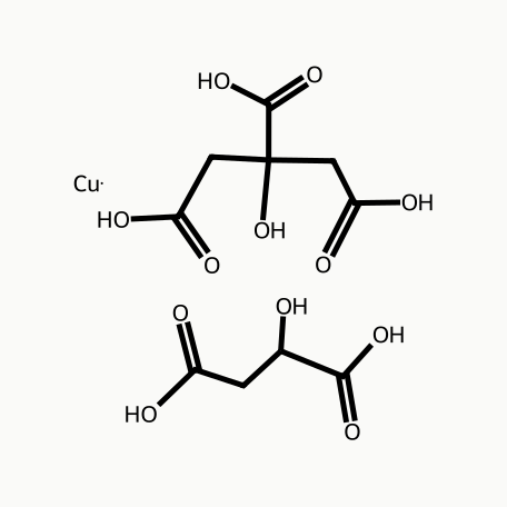 O=C(O)CC(O)(CC(=O)O)C(=O)O.O=C(O)CC(O)C(=O)O.[Cu]